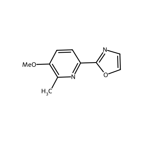 COc1ccc(-c2ncco2)nc1C